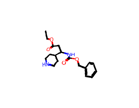 CCOC(=O)CC(NC(=O)OCc1ccccc1)C1CCNCC1